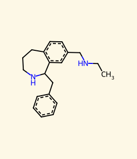 CCNCc1ccc2c(c1)C(Cc1ccccc1)NCCC2